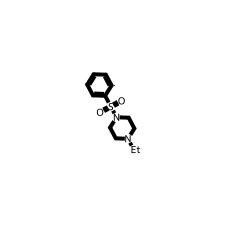 CCN1CCN(S(=O)(=O)c2[c]cccc2)CC1